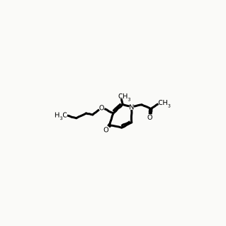 CCCCOc1c(C)n(CC(C)=O)ccc1=O